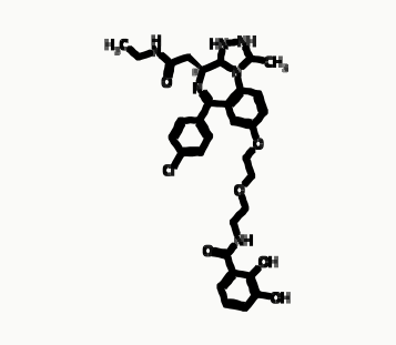 CCNC(=O)C[C@@H]1N=C(c2ccc(Cl)cc2)c2cc(OCCOCCNC(=O)c3cccc(O)c3O)ccc2N2C(C)NNC12